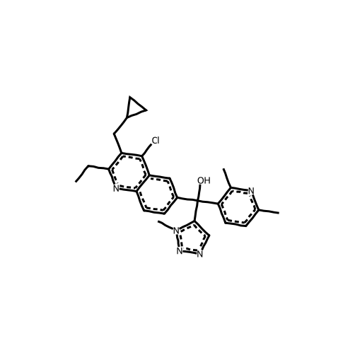 CCc1nc2ccc(C(O)(c3ccc(C)nc3C)c3cnnn3C)cc2c(Cl)c1CC1CC1